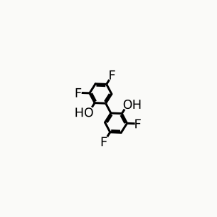 Oc1c(F)cc(F)cc1-c1cc(F)cc(F)c1O